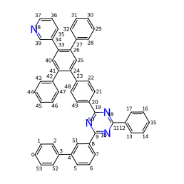 c1ccc(-c2cccc(-c3nc(-c4ccccc4)nc(-c4ccc(-c5cc(-c6ccccc6)c(-c6cccnc6)cc5-c5ccccc5)cc4)n3)c2)cc1